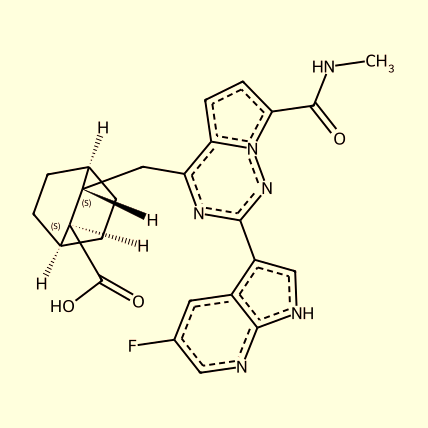 CNC(=O)c1ccc2c(C[C@H]3[C@H]4CC[C@H](CC4)[C@@H]3C(=O)O)nc(-c3c[nH]c4ncc(F)cc34)nn12